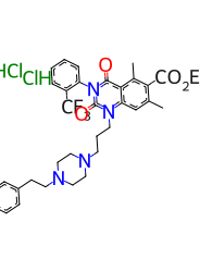 CCOC(=O)c1c(C)cc2c(c1C)c(=O)n(-c1ccccc1C(F)(F)F)c(=O)n2CCCN1CCN(CCc2ccccc2)CC1.Cl.Cl